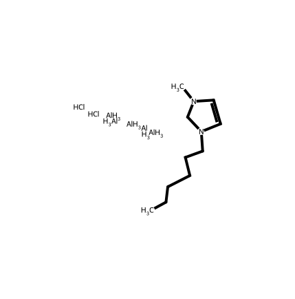 CCCCCCN1C=CN(C)C1.Cl.Cl.[AlH3].[AlH3].[AlH3].[AlH3].[AlH3]